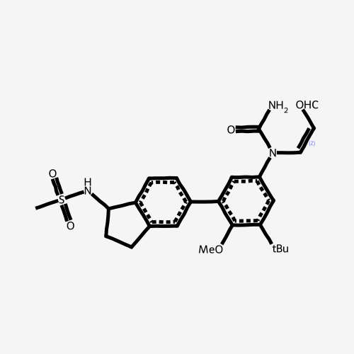 COc1c(-c2ccc3c(c2)CCC3NS(C)(=O)=O)cc(N(/C=C\C=O)C(N)=O)cc1C(C)(C)C